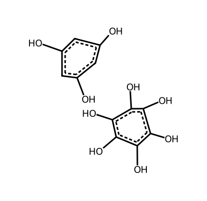 Oc1c(O)c(O)c(O)c(O)c1O.Oc1cc(O)cc(O)c1